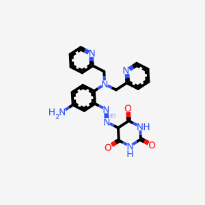 Nc1ccc(N(Cc2ccccn2)Cc2ccccn2)c(/N=N/C2C(=O)NC(=O)NC2=O)c1